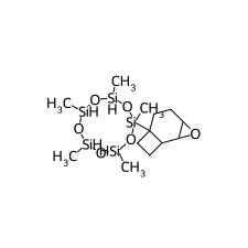 C[SiH]1O[SiH](C)O[SiH](C)O[Si](C)(C23CCC4OC4C2CC3)O[SiH](C)O1